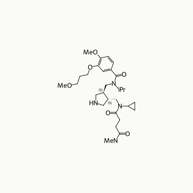 CNC(=O)CCC(=O)N(C[C@@H]1CNC[C@H]1CN(C(=O)c1ccc(OC)c(OCCCOC)c1)C(C)C)C1CC1